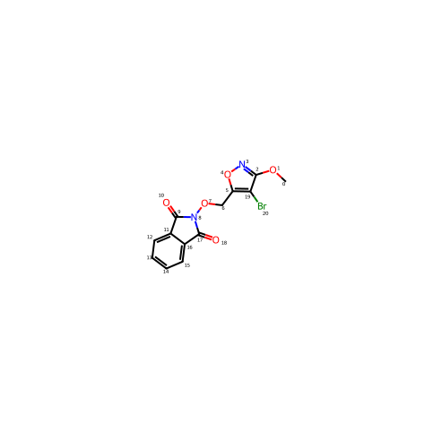 COc1noc(CON2C(=O)c3ccccc3C2=O)c1Br